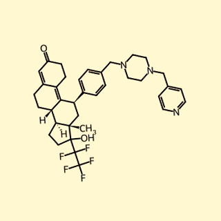 C[C@]12C[C@H](c3ccc(CN4CCN(Cc5ccncc5)CC4)cc3)C3=C4CCC(=O)C=C4CC[C@H]3[C@@H]1CCC2(O)C(F)(F)C(F)(F)F